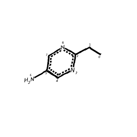 CCc1ncc(N)cn1